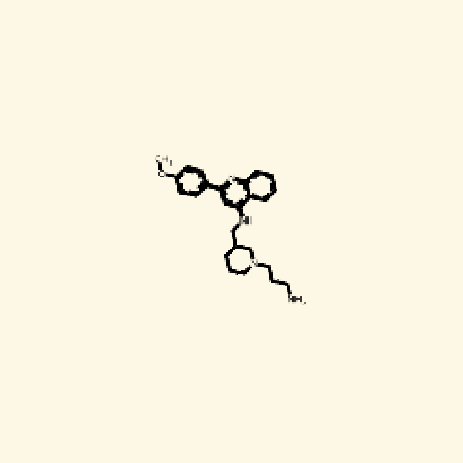 COc1ccc(-c2cc(NCC3CCCN(CCCN)C3)c3ccccc3n2)cc1